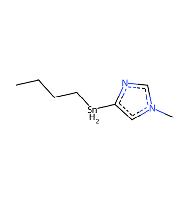 CCC[CH2][SnH2][c]1cn(C)cn1